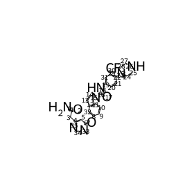 NC(=O)Cc1cc(Oc2ccc3c(ccn3C(=O)Nc3ccc(N4CCNCC4)c(C(F)(F)F)c3)c2)ncn1